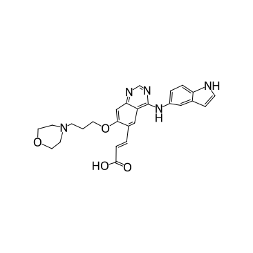 O=C(O)C=Cc1cc2c(Nc3ccc4[nH]ccc4c3)ncnc2cc1OCCCN1CCOCC1